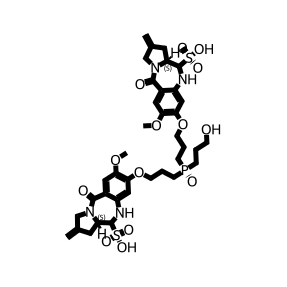 C=C1C[C@H]2C(S(=O)(=O)O)Nc3cc(OCCCP(=O)(CCCO)CCCOc4cc5c(cc4OC)C(=O)N4CC(=C)C[C@H]4C(S(=O)(=O)O)N5)c(OC)cc3C(=O)N2C1